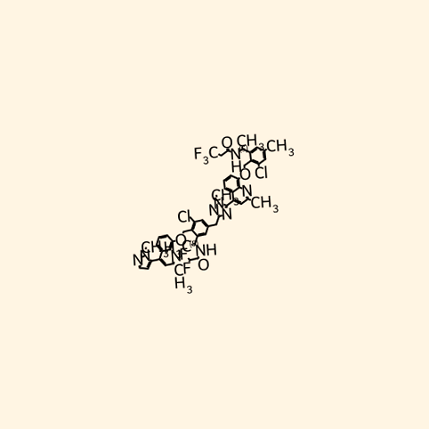 Cc1cc(Cl)c(COc2cccc3c(-c4nc(Cc5cc(Cl)c(COc6cccc7c(-c8ccnn8C)cc(C)nc67)c([C@H](C)NC(=O)C(F)F)c5)nn4C)cc(C)nc23)c([C@H](C)NC(=O)CC(F)(F)F)c1